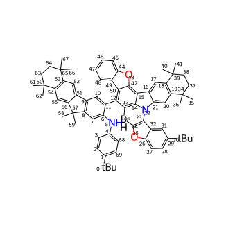 CC(C)(C)c1ccc(Nc2cc3c(cc2-c2c4c5c(c6cc7c(cc6n5-c5c(oc6ccc(C(C)(C)C)cc56)B4)C(C)(C)CCC7(C)C)c4oc5ccccc5c24)-c2cc4c(cc2C3(C)C)C(C)(C)CCC4(C)C)cc1